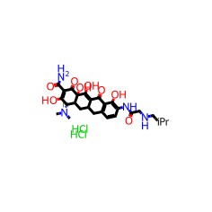 CC(C)CNCC(=O)Nc1ccc2c(c1O)C(=O)C1=C(O)C3(O)C(=O)C(C(N)=O)=C(O)[C@@H](N(C)C)C3CC1C2.Cl.Cl